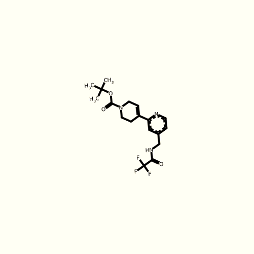 CC(C)(C)OC(=O)N1CC=C(c2cc(CNC(=O)C(F)(F)F)ccn2)CC1